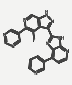 Fc1c(-c2cncnc2)ncc2[nH]nc(-c3nc4c(-c5cccnc5)ccnc4[nH]3)c12